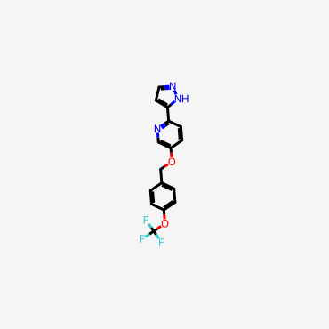 FC(F)(F)Oc1ccc(COc2ccc(-c3ccn[nH]3)nc2)cc1